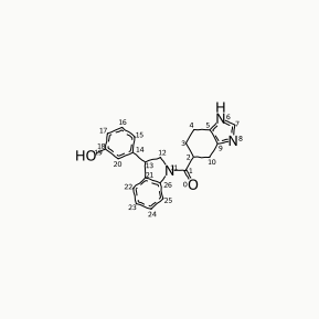 O=C(C1CCc2[nH]cnc2C1)N1CC(c2cccc(O)c2)c2ccccc21